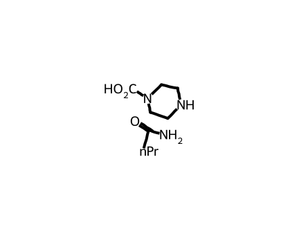 CCCC(N)=O.O=C(O)N1CCNCC1